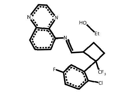 CCO.Fc1ccc(Cl)c(C2(C(F)(F)F)CCC2C=Nc2cccc3nccnc23)c1